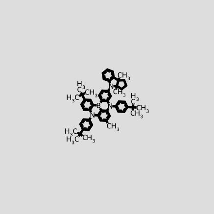 Cc1cc2c3c(c1)N(c1ccc(C(C)(C)C)cc1)c1cc(N4c5ccccc5C5(C)CCCC45C)ccc1B3c1cc(C(C)(C)C)ccc1N2c1ccc(C(C)(C)C)cc1